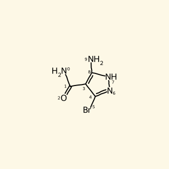 NC(=O)c1c(Br)n[nH]c1N